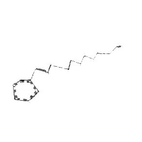 O=CCCCCCCCCC=Cc1ccccc1